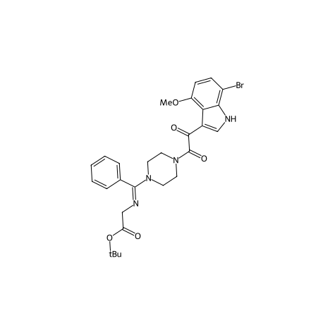 COc1ccc(Br)c2[nH]cc(C(=O)C(=O)N3CCN(/C(=N/CC(=O)OC(C)(C)C)c4ccccc4)CC3)c12